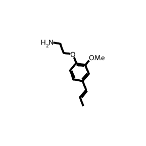 C/C=C/c1ccc(OCCN)c(OC)c1